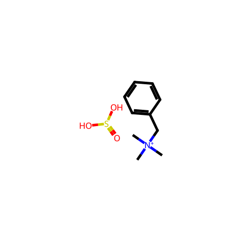 C[N+](C)(C)Cc1ccccc1.O=S(O)O